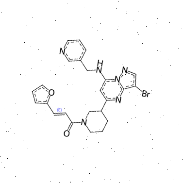 O=C(/C=C/c1ccco1)N1CCCC(c2cc(NCc3cccnc3)n3ncc(Br)c3n2)C1